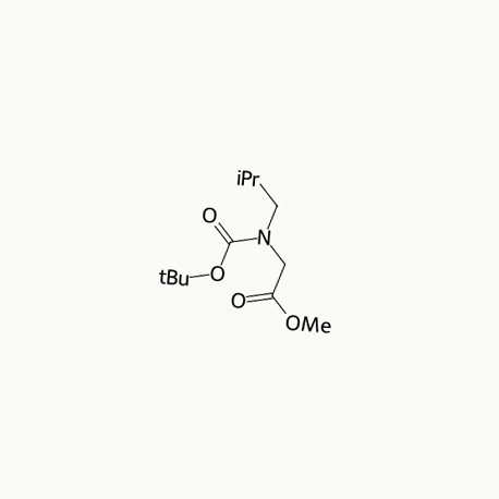 COC(=O)CN(CC(C)C)C(=O)OC(C)(C)C